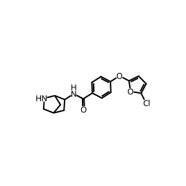 O=C(NC1CC2CNC1C2)c1ccc(Oc2ccc(Cl)o2)cc1